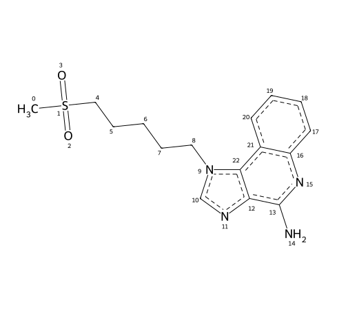 CS(=O)(=O)CCCCCn1cnc2c(N)nc3ccccc3c21